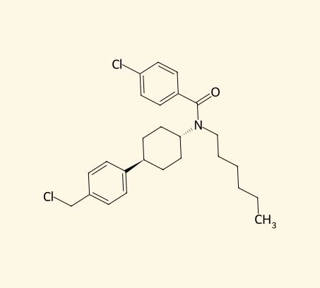 CCCCCCN(C(=O)c1ccc(Cl)cc1)[C@H]1CC[C@H](c2ccc(CCl)cc2)CC1